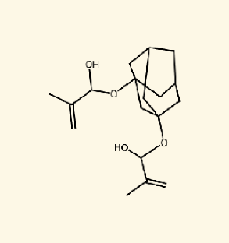 C=C(C)C(O)OC12CC3CC(C1)CC(OC(O)C(=C)C)(C3)C2